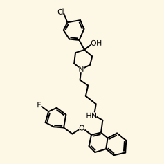 OC1(c2ccc(Cl)cc2)CCN(CCCCNCc2c(OCc3ccc(F)cc3)ccc3ccccc23)CC1